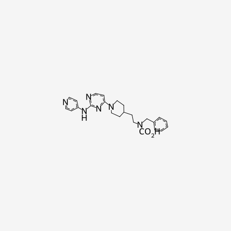 O=C(O)N(CCC1CCN(c2ccnc(Nc3ccncc3)n2)CC1)Cc1ccccc1